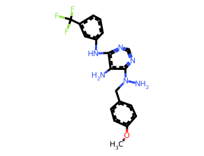 COc1ccc(CN(N)c2ncnc(Nc3cccc(C(F)(F)F)c3)c2N)cc1